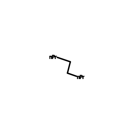 C[C]CCCCCC